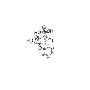 CCC(CC)(Oc1ccccc1)C(=O)CP(=O)(O)O